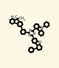 CC1(C)c2ccccc2-c2cc(-c3cccc(-c4nc(-c5ccc6c(c5)oc5cccc(-c7ccccc7)c56)nc(-c5cccc6c5c5ccccc5n6-c5ccccc5)n4)c3)ccc21